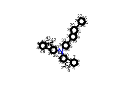 C[Si]1(C)c2ccccc2-c2cc(N(c3ccc(-c4ccc5cc(-c6ccccc6)ccc5c4)cc3)c3ccc4c(c3)[Si](C)(C)c3ccccc3-4)ccc21